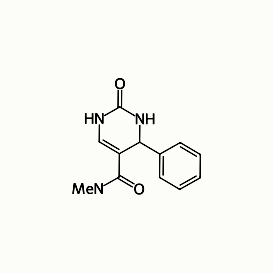 CNC(=O)C1=CNC(=O)NC1c1ccccc1